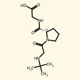 CC(C)(C)NCC(=O)N1CCC[C@H]1C(=O)NCC(=O)O